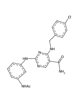 CC(=O)Nc1cccc(Nc2ncc(C(N)=O)c(NCc3ccc(Cl)cc3)n2)c1